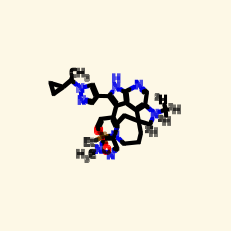 [2H][C@H]1N(C([2H])([2H])[2H])c2cnc3[nH]c(-c4cnn(C(C)C5CC5)c4)c(-c4ccc5c(cnn5C)c4)c3c2C12CCCN(S(=O)(=O)CC)CC2